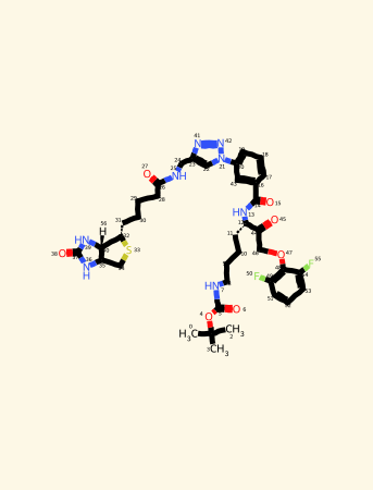 CC(C)(C)OC(=O)NCCCC[C@H](NC(=O)c1cccc(-n2cc(CNC(=O)CCCC[C@@H]3SCC4NC(=O)N[C@@H]43)nn2)c1)C(=O)COc1c(F)cccc1F